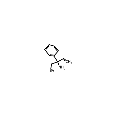 C=CC(N)(CC(C)C)c1ccccc1